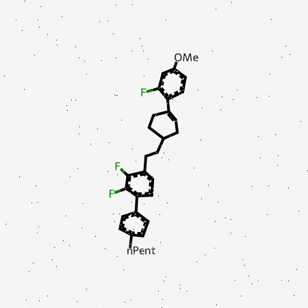 CCCCCc1ccc(-c2ccc(CCC3CC=C(c4ccc(OC)cc4F)CC3)c(F)c2F)cc1